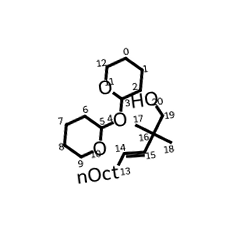 C1CCC(OC2CCCCO2)OC1.CCCCCCCCC=CC(C)(C)CO